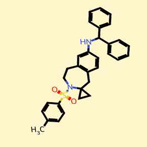 Cc1ccc(S(=O)(=O)N2CCc3cc(NC(c4ccccc4)c4ccccc4)ccc3CC23CC3)cc1